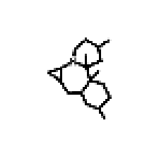 CC1CCC2(C)C(C1)CC1CC1N1CCC(C)CC12C